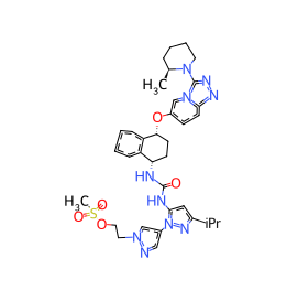 CC(C)c1cc(NC(=O)N[C@H]2CC[C@@H](Oc3ccc4nnc(N5CCCC[C@@H]5C)n4c3)c3ccccc32)n(-c2cnn(CCOS(C)(=O)=O)c2)n1